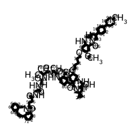 COc1cc2c(cc1OCCCCCOC1CC3NC(O)[C@@H]4CC5(CC5)CN4C(=O)C3(Cc3ccc(NC(=O)[C@H](C)NC(=O)[C@@H](NC(=O)CNC(=O)CNC(=O)CCC(=O)N4Cc5ccccc5C#Cc5ccccc54)C(C)C)cc3)CC1OC)NC[C@@H]1CC(c3ccc(C4CCN(C)CC4)cc3)=CN1C2=O